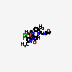 Cc1cc(C(F)(F)F)cc(N2C(=O)C[C@@H]3CN(CCN4CC5(CCO5)C4)c4c(C)cccc4N(C)C(=O)[C@H]32)n1